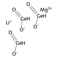 [Li+].[Mg+2].[O]=[GeH][O-].[O]=[GeH][O-].[O]=[GeH][O-]